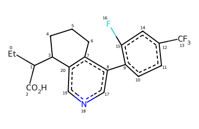 CCC(C(=O)O)C1CCCc2c(-c3ccc(C(F)(F)F)cc3F)cncc21